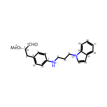 CO[C@H](C=O)Cc1ccc(NCCCn2ccc3ccccc32)cc1